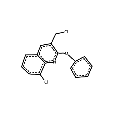 ClCc1cc2cccc(Cl)c2nc1Oc1ccccc1